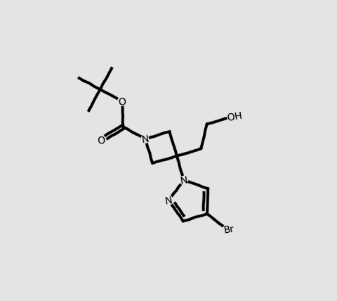 CC(C)(C)OC(=O)N1CC(CCO)(n2cc(Br)cn2)C1